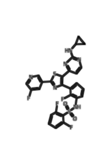 O=S(=O)(Nc1cccc(-c2nc(-c3cncc(F)c3)sc2-c2ccnc(NC3CC3)n2)c1F)c1c(F)cccc1F